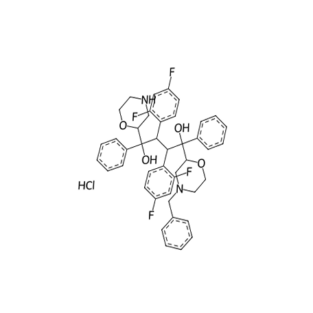 Cl.OC(c1ccccc1)(C1CNCCO1)C(c1ccc(F)cc1F)C(c1ccc(F)cc1F)C(O)(c1ccccc1)C1CN(Cc2ccccc2)CCO1